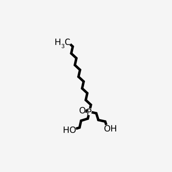 CCCCCCCCCCCCP(=O)(CCCO)CCCO